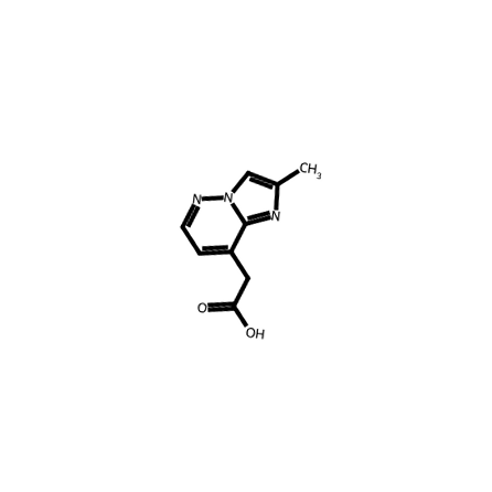 Cc1cn2nccc(CC(=O)O)c2n1